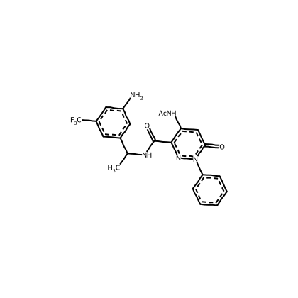 CC(=O)Nc1cc(=O)n(-c2ccccc2)nc1C(=O)NC(C)c1cc(N)cc(C(F)(F)F)c1